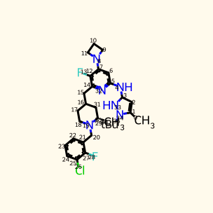 CC1=CC(Nc2cc(N3CCC3)c(F)c(CC3CCN(Cc4cccc(Cl)c4F)[C@H](C)C3)n2)NN1C(C)(C)C